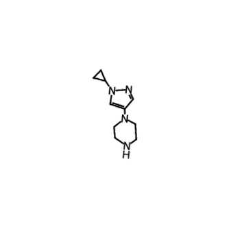 c1nn(C2CC2)cc1N1CCNCC1